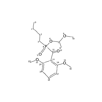 CCCCP(=O)(OC(C)OC)C(=O)c1c(OC)cccc1OC